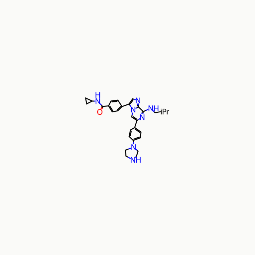 CC(C)CNc1nc(-c2ccc(N3CCNCC3)cc2)cn2c(-c3ccc(C(=O)NC4CC4)cc3)cnc12